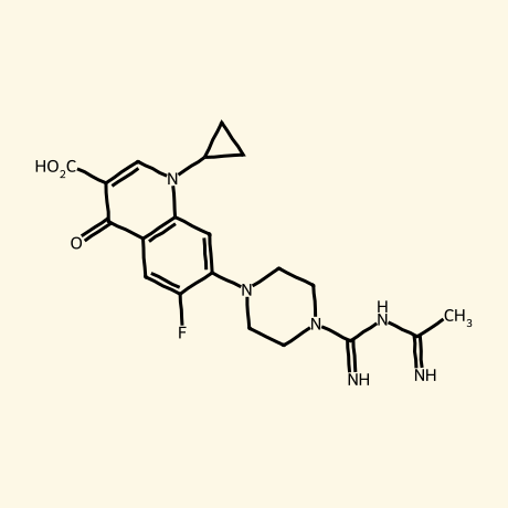 CC(=N)NC(=N)N1CCN(c2cc3c(cc2F)c(=O)c(C(=O)O)cn3C2CC2)CC1